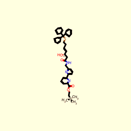 C[Si](C)(C)CCOC(=O)c1cccc(-c2cccc(CNC(=O)C[C@H](O)C=CCCSC(c3ccccc3)(c3ccccc3)c3ccccc3)n2)n1